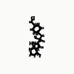 Cc1ccnc2[nH]c(C(C)(C)Cc3ccc(CCl)cc3)cc12